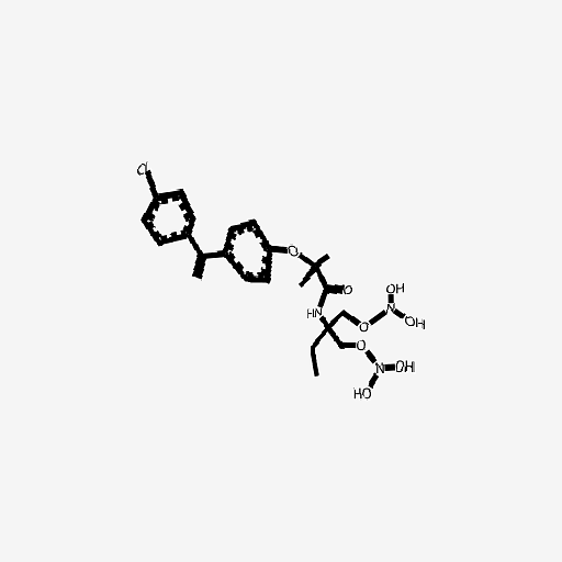 C=C(c1ccc(Cl)cc1)c1ccc(OC(C)(C)C(=O)NC(CC)(CON(O)O)CON(O)O)cc1